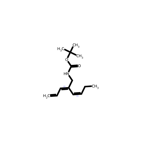 C=C/C=C(\C=C/CC)CNC(=O)OC(C)(C)C